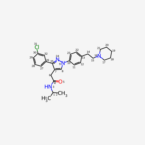 CC(C)NC(=O)Cc1cn(-c2ccc(CCN3CCCCC3)cc2)nc1-c1cccc(Cl)c1